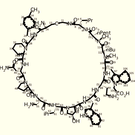 CCCCC[C@H]1C(=O)N[C@@H](CC(C)C)C(=O)NCCC[C@@H](N)C(=O)N[C@@H](Cc2ccc(C)cc2)C(=O)N2CCCC[C@H]2C(=O)N[C@@H](CC(N)=O)C(=O)N2CCC[C@H]2C(=O)N[C@@H](CN)C(=O)N[C@@H](CC(C)C)C(=O)N2C[C@H](O)C[C@H]2C(=O)N[C@@H](Cc2c[nH]c3ccccc23)C(=O)N[C@@H](CCN)C(=O)N[C@@H](Cc2cn(CC(=O)O)c3ccccc23)C(=O)N(C)[C@@H](CCCC)C(=O)N1C